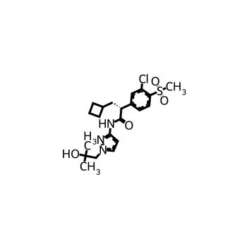 CC(C)(O)Cn1ccc(NC(=O)[C@H](CC2CCC2)c2ccc(S(C)(=O)=O)c(Cl)c2)n1